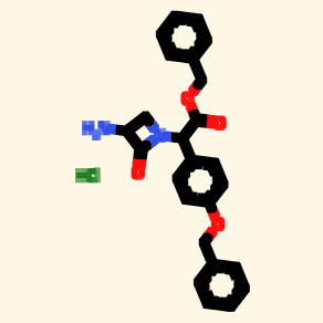 Cl.NC1CN(C(C(=O)OCc2ccccc2)c2ccc(OCc3ccccc3)cc2)C1=O